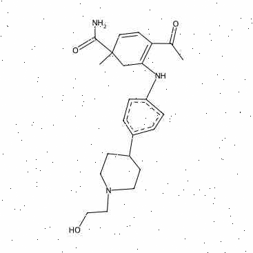 CC(=O)C1=C(Nc2ccc(C3CCN(CCO)CC3)cc2)CC(C)(C(N)=O)C=C1